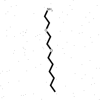 CCCCCCOCCOCCN